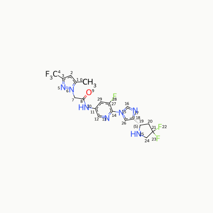 Cc1cc(C(F)(F)F)nn1CC(=O)Nc1cnc(-n2cnc([C@@H]3CC(F)(F)CN3)c2)c(F)c1